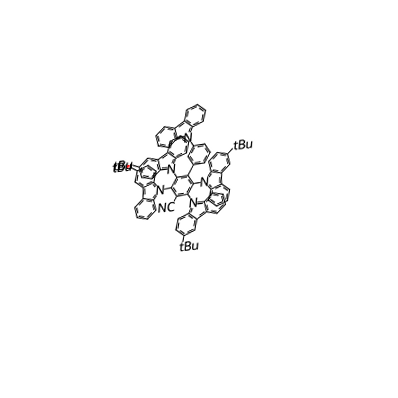 CC(C)(C)c1ccc2c(c1)c1ccccc1n2-c1c(C#N)c(-n2c3ccccc3c3cc(C(C)(C)C)ccc32)c(-n2c3ccccc3c3cc(C(C)(C)C)ccc32)c(-c2cccc(-n3c4ccccc4c4ccccc43)c2)c1-n1c2ccccc2c2cc(C(C)(C)C)ccc21